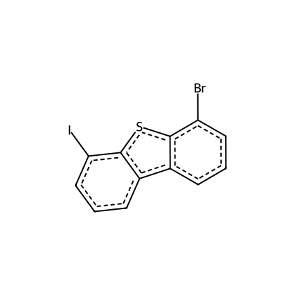 Brc1cccc2c1sc1c(I)cccc12